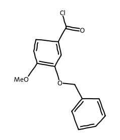 COc1ccc(C(=O)Cl)cc1OCc1ccccc1